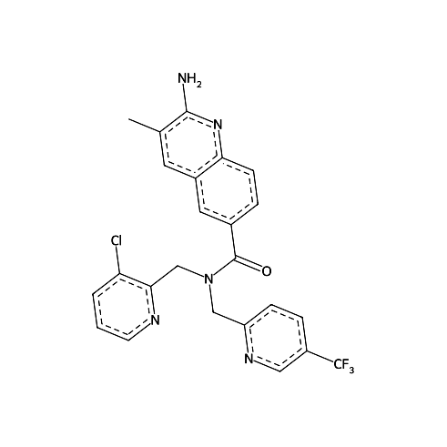 Cc1cc2cc(C(=O)N(Cc3ccc(C(F)(F)F)cn3)Cc3ncccc3Cl)ccc2nc1N